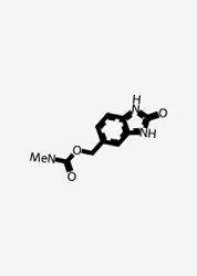 CNC(=O)OCc1ccc2[nH]c(=O)[nH]c2c1